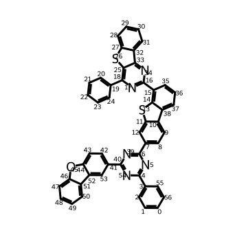 c1ccc(-c2nc(-c3ccc4c(c3)sc3c(-c5nc(-c6ccccc6)c6sc7ccccc7c6n5)cccc34)nc(-c3ccc4oc5ccccc5c4c3)n2)cc1